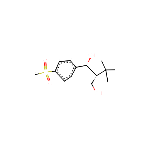 CC(C)(C)[C@@H](CO)[C@H](O)c1ccc(S(C)(=O)=O)cc1